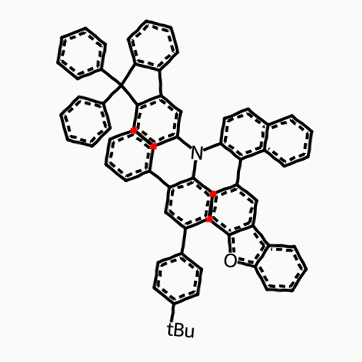 CC(C)(C)c1ccc(-c2ccc(N(c3ccc4c(c3)-c3ccccc3C4(c3ccccc3)c3ccccc3)c3ccc4ccccc4c3-c3ccc4oc5ccccc5c4c3)c(-c3ccccc3)c2)cc1